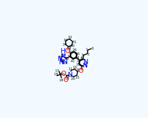 CCCCc1nnc(OC2CCN(C(=O)OC(C)(C)C)CC2)cc1-c1ccc(OC2CCCCC2)c(-c2nnn[nH]2)c1